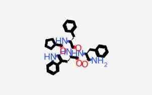 NC(=O)[C@H](Cc1ccccc1)NC(=O)[C@H](Cc1c[nH]c2ccccc12)NC(=O)[C@@H](Cc1ccccc1)NC(=O)C1CCCC1